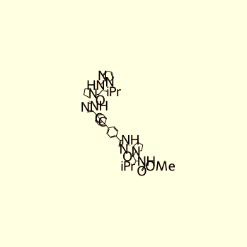 COC(=O)N[C@H](C(=O)N1CCC[C@H]1c1ncc(-c2ccc(C34CCC(c5cnc([C@@H]6CCCN6C(=O)[C@@H](Nc6ncccn6)C(C)C)[nH]5)(CC3)CC4)cc2)[nH]1)C(C)C